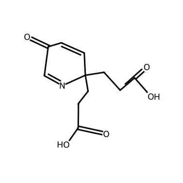 O=C1C=CC(CCC(=O)O)(CCC(=O)O)N=C1